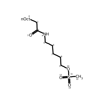 CCCCCCCCCC(=O)NCCCCCOS(C)(=O)=O